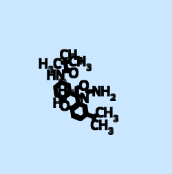 CC(C)c1ccc2c(c1)C1(COC(N)=N1)[C@H]1C[C@@H](NC(=O)C(C)(C)C)CC[C@@H]1O2